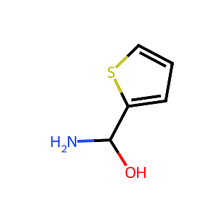 NC(O)c1cccs1